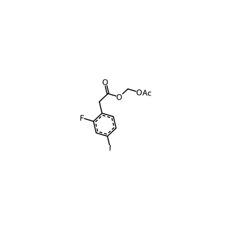 CC(=O)OCOC(=O)Cc1ccc(I)cc1F